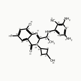 C[C@H](Nc1nc(N)nc(N)c1C#N)c1nc2c(Cl)cc(F)cc2c(=O)n1C1CC(O)C1